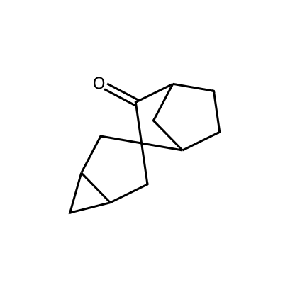 O=C1C2CCC(C2)C12CC1CC1C2